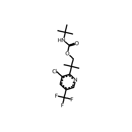 CC(C)(C)NC(=O)OCC(C)(C)c1ncc(C(F)(F)F)cc1Cl